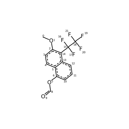 COc1ccc2c(OC=O)cccc2c1C(F)(F)C(F)(F)F